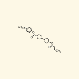 CC=CC(=O)O[C@H]1CC[C@H]([C@H]2CC[C@H](C(=O)Oc3ccc(CCCCCC)cc3)CC2)CC1